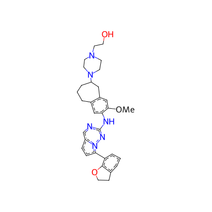 COc1cc2c(cc1Nc1ncc3ccc(-c4cccc5c4OCC5)n3n1)CCCC(N1CCN(CCO)CC1)C2